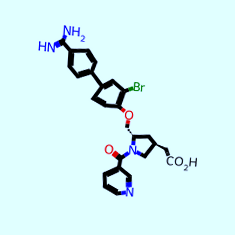 N=C(N)c1ccc(-c2ccc(OC[C@@H]3C[C@@H](CC(=O)O)CN3C(=O)c3cccnc3)c(Br)c2)cc1